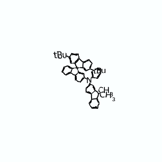 CC(C)(C)c1ccc2c(c1)C1(c3ccccc3-c3ccc(N(c4ccccc4)c4ccc5c(c4)C(C)(C)c4ccccc4-5)cc31)c1cc(C(C)(C)C)ccc1-2